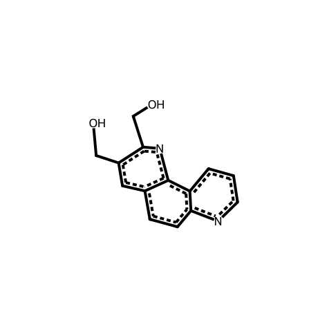 OCc1cc2ccc3ncccc3c2nc1CO